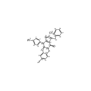 CC(C)c1ccc(-n2c(=O)n(Cc3ccc(F)cc3)c(=O)c3c2ncn3Cc2ccccc2Cl)cc1